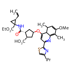 C=C[C@@H]1C[C@]1(NC(=O)[C@@H]1C[C@@H](OC2=CC(c3nc(C(C)C)cs3)=NC3=C(C)C(OC)=CC(C)C23)C[C@H]1C(=O)O)C(=O)OCC